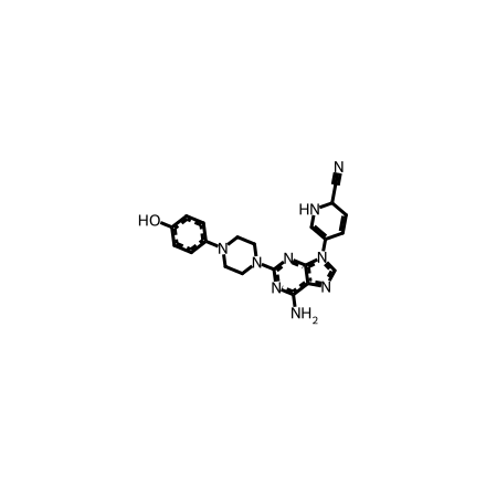 N#CC1C=CC(n2cnc3c(N)nc(N4CCN(c5ccc(O)cc5)CC4)nc32)=CN1